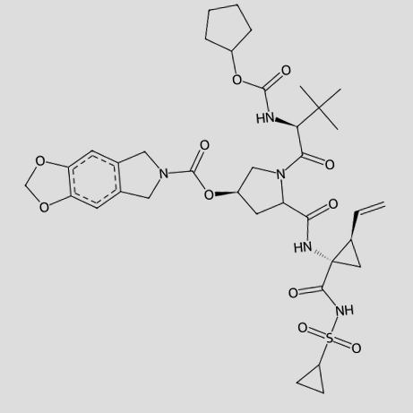 C=C[C@H]1C[C@@]1(NC(=O)C1C[C@@H](OC(=O)N2Cc3cc4c(cc3C2)OCO4)CN1C(=O)[C@@H](NC(=O)OC1CCCC1)C(C)(C)C)C(=O)NS(=O)(=O)C1CC1